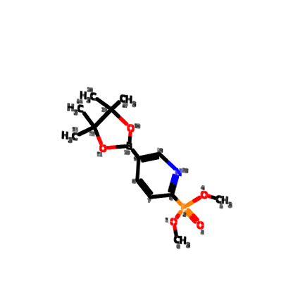 COP(=O)(OC)c1ccc(B2OC(C)(C)C(C)(C)O2)cn1